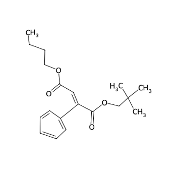 CCCCOC(=O)/C=C(/C(=O)OCC(C)(C)C)c1ccccc1